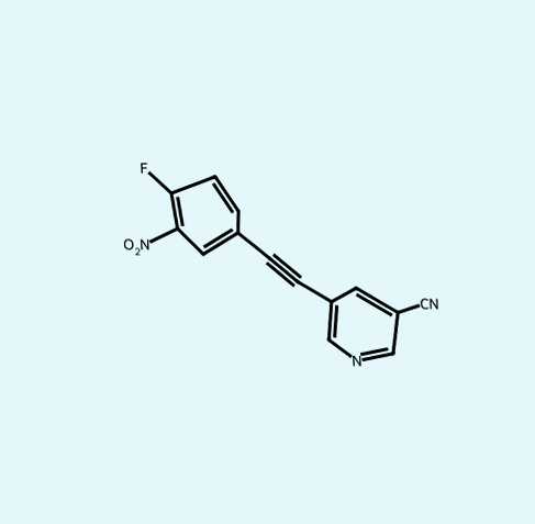 N#Cc1cncc(C#Cc2ccc(F)c([N+](=O)[O-])c2)c1